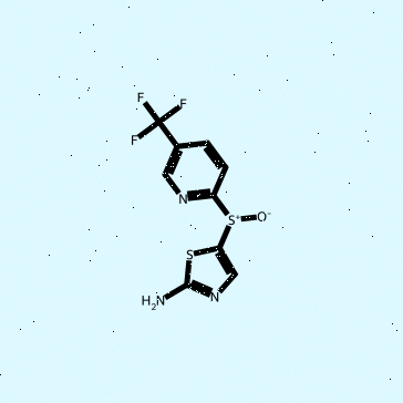 Nc1ncc([S+]([O-])c2ccc(C(F)(F)F)cn2)s1